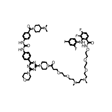 CN(CCOCCOCCONC(=O)c1ccc(F)c(F)c1Nc1ccc(I)cc1F)CCN(C)CCOCCOCCC(=O)N1CCN(c2nc(-c3ccc(NC(=O)Nc4ccc(C(=O)N5CCC(N(C)C)CC5)cc4)cc3)nc(N3CCOCC3)n2)CC1